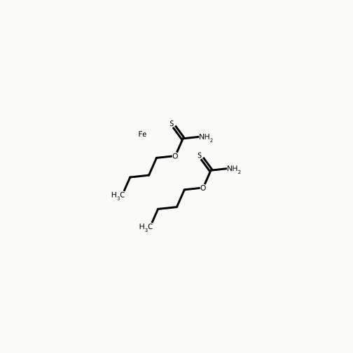 CCCCOC(N)=S.CCCCOC(N)=S.[Fe]